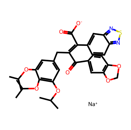 CC(C)Oc1cc(CC(C(=O)c2ccc3c(c2)OCO3)=C(C(=O)[O-])c2ccc3nsnc3c2)cc(OC(C)C)c1OC(C)C.[Na+]